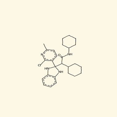 Cc1ccc(C2(C(C(=O)NC3CCCCC3)C3CCCCC3)Nc3ccccc3N2)c(Cl)n1